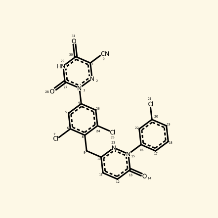 N#Cc1nn(-c2cc(Cl)c(Cc3ccc(=O)n(-c4cccc(Cl)c4)n3)c(Cl)c2)c(=O)[nH]c1=O